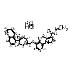 CCOC(=O)c1ncn2c1COc1c(CCN3CCC(F)(c4cccc5ncccc45)CC3)cccc1-2.Cl.Cl